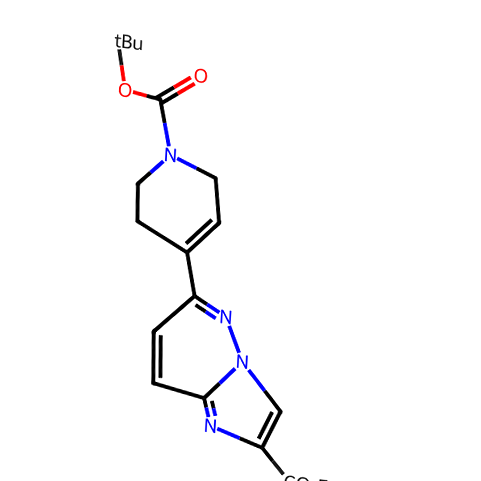 CCOC(=O)c1cn2nc(C3=CCN(C(=O)OC(C)(C)C)CC3)ccc2n1